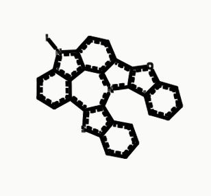 In1c2cccc3c4sc5ccccc5c4n4c5c6ccccc6oc5c5ccc1c(c32)c54